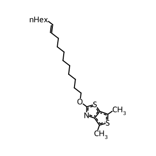 CCCCCC/C=C/CCCCCCCCCOc1nc2c(C)sc(C)c2s1